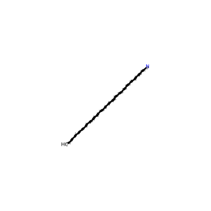 C#CC#CC#CC#CC#CC#CC#CC#CC#CC#CC#CC#CC#CC#CC#CC#CC#CC#CC#CC#CC#CC#N